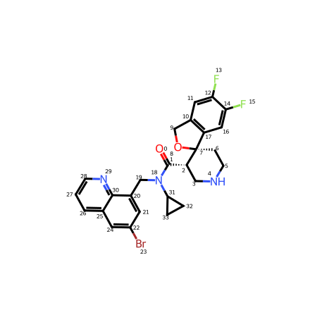 O=C([C@H]1CNCC[C@@]12OCc1cc(F)c(F)cc12)N(Cc1cc(Br)cc2cccnc12)C1CC1